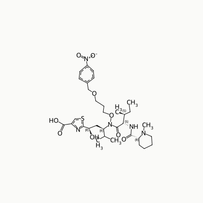 CC[C@H](C)[C@H](NC(=O)[C@H]1CCCCN1C)C(=O)N(OCCCOCc1ccc([N+](=O)[O-])cc1)[C@H](C[C@@H](O)c1nc(C(=O)O)cs1)C(C)C